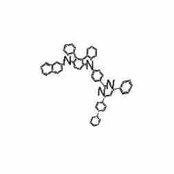 c1ccc(-c2ccc(-c3cc(-c4ccccc4)nc(-c4ccc(-n5c6ccccc6c6c7c8ccccc8n(-c8ccc9ccccc9c8)c7ccc65)cc4)n3)cc2)cc1